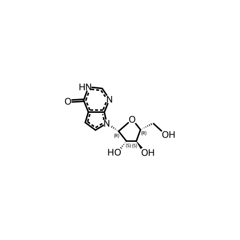 O=c1[nH]cnc2c1ccn2[C@@H]1O[C@H](CO)[C@@H](O)[C@@H]1O